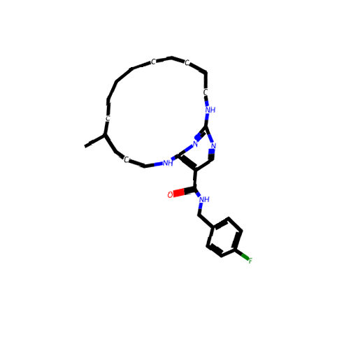 CC1CCCCCCCCCNc2ncc(C(=O)NCc3ccc(F)cc3)c(n2)NCCC1